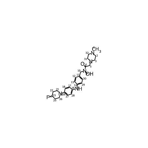 CN1CCN(CC(=O)N(O)Cc2ccc(Nc3ccc(N4CCC(F)CC4)cc3)cc2)CC1